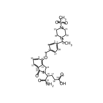 CC(c1ccc(COc2cccc3c2CN(C(CCC(=O)O)C(N)=O)C3=O)cc1)N1CCN(S(C)(=O)=O)CC1